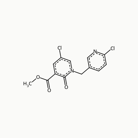 COC(=O)c1cc(Cl)cn(Cc2ccc(Cl)nc2)c1=O